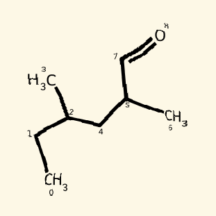 CCC(C)CC(C)C=O